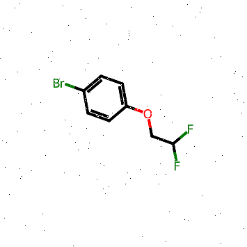 FC(F)COc1ccc(Br)cc1